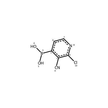 N#Cc1c(B(O)O)ccnc1Cl